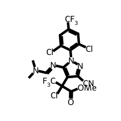 COC(=O)C(Cl)(c1c(C#N)nn(-c2c(Cl)cc(C(F)(F)F)cc2Cl)c1N=CN(C)C)C(F)(F)F